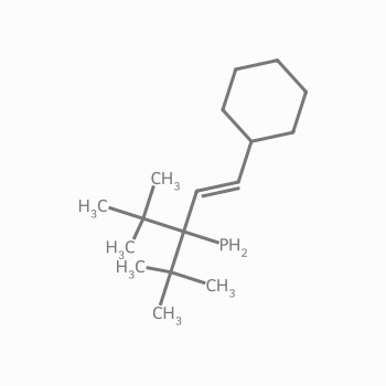 CC(C)(C)C(P)(C=CC1CCCCC1)C(C)(C)C